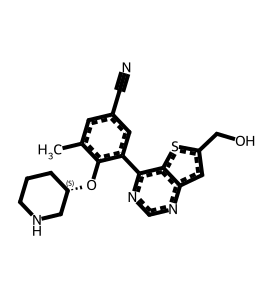 Cc1cc(C#N)cc(-c2ncnc3cc(CO)sc23)c1O[C@H]1CCCNC1